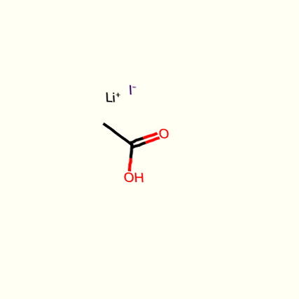 CC(=O)O.[I-].[Li+]